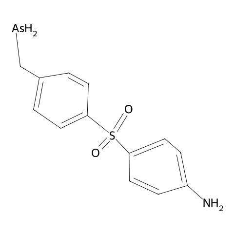 Nc1ccc(S(=O)(=O)c2ccc(C[AsH2])cc2)cc1